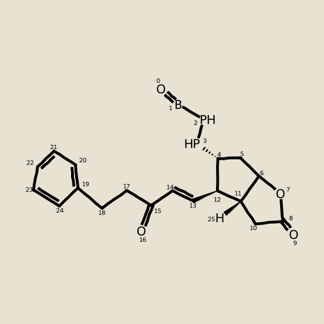 O=BPP[C@@H]1CC2OC(=O)C[C@@H]2[C@H]1/C=C/C(=O)CCc1ccccc1